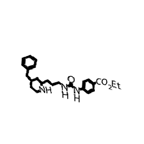 CCOC(=O)c1ccc(NC(=O)NCCCC2CC(Cc3ccccc3)CCN2)cc1